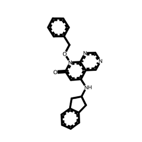 O=c1cc(NC2Cc3ccccc3C2)c2cncnc2n1OCc1ccccc1